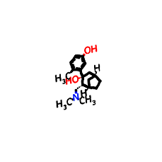 Cc1ccc(O)cc1[C@@]1(O)C[C@H]2CC[C@H](C2)[C@@H]1CN(C)C